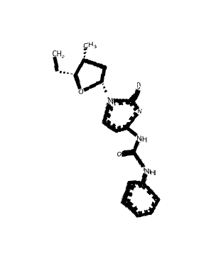 CC[C@H]1O[C@@H](n2ccc(NC(=O)Nc3ccccc3)nc2=O)C[C@H]1C